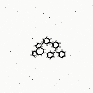 c1ccc(N(c2ccccc2)c2cccc(-c3cccc(-n4ccc5c4CCCc4occc4-5)c3)c2)cc1